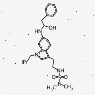 CC(C)Cn1cc(CCNS(=O)(=O)N(C)C)c2ccc(NC(O)Cc3ccccc3)cc21